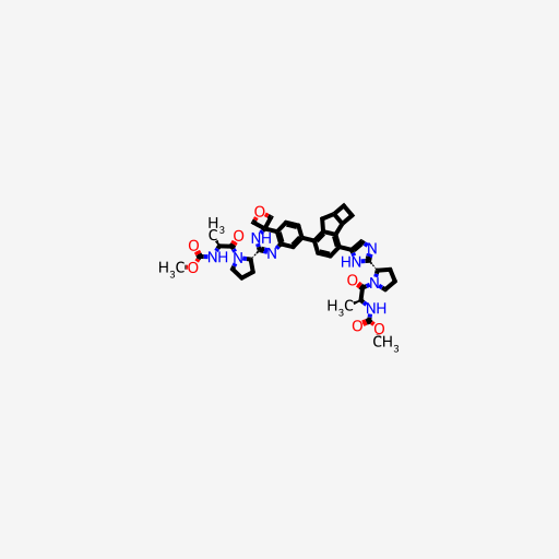 COC(=O)N[C@@H](C)C(=O)N1CCC[C@H]1C1=Nc2cc(-c3ccc(-c4cnc([C@@H]5CCCN5C(=O)[C@H](C)NC(=O)OC)[nH]4)c4c3CC3CCC43)ccc2C2(COC2)N1